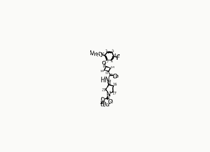 COc1ccc(F)cc1O[C@H]1C[C@H](C(=O)NC2CCN(C(=O)OC(C)(C)C)C2)C1